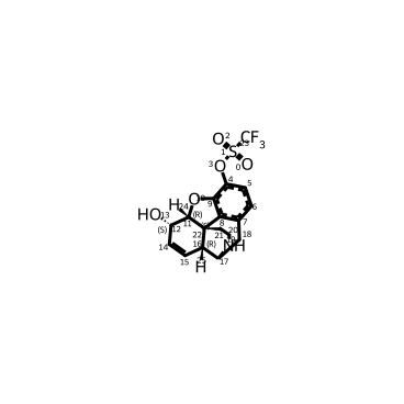 O=S(=O)(Oc1ccc2c3c1O[C@H]1[C@@H](O)C=C[C@H]4C(C2)NCC[C@@]341)C(F)(F)F